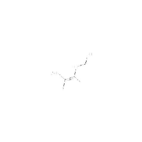 CC/C(NCO)=C(\C)NC